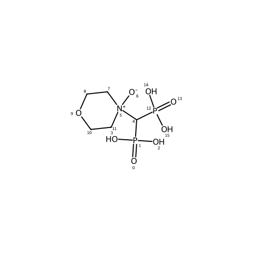 O=P(O)(O)C([N+]1([O-])CCOCC1)P(=O)(O)O